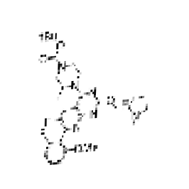 COc1cccc(F)c1-c1nc2nc(OC[C@@H]3CCCN3C)nc(N3CCN(C(=O)OC(C)(C)C)CC3C)c2cc1F